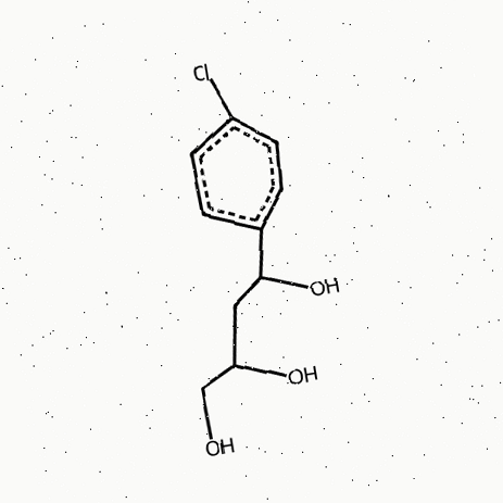 OCC(O)CC(O)c1ccc(Cl)cc1